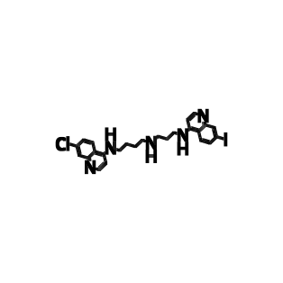 Clc1ccc2c(NCCCCNCCCNc3ccnc4cc(I)ccc34)ccnc2c1